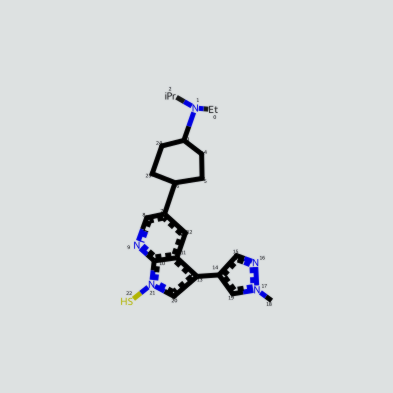 CCN(C(C)C)C1CCC(c2cnc3c(c2)c(-c2cnn(C)c2)cn3S)CC1